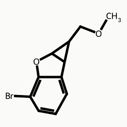 COCC1C2Oc3c(Br)cccc3C12